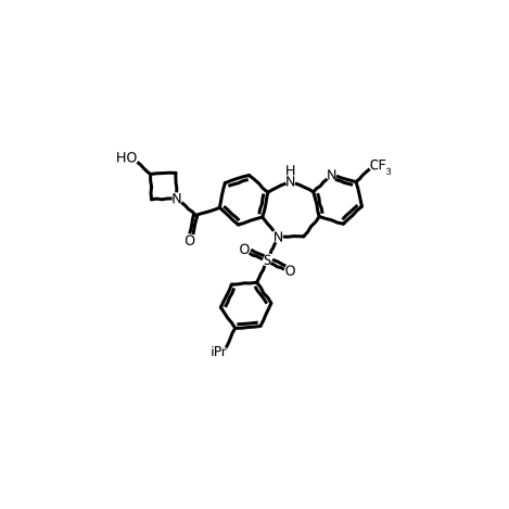 CC(C)c1ccc(S(=O)(=O)N2Cc3ccc(C(F)(F)F)nc3Nc3ccc(C(=O)N4CC(O)C4)cc32)cc1